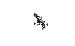 Cc1c(/C=C2\C(=O)Nc3ccc(F)cc32)[nH]c2c1C(=O)N(C[C@@H](O)CN1CCOCC1)CCC2